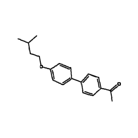 CC(=O)c1ccc(-c2ccc(OCCC(C)C)cc2)cc1